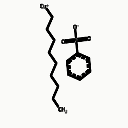 CCCCCCCC[CH2][Cu+].O=S(=O)([O-])c1ccccc1